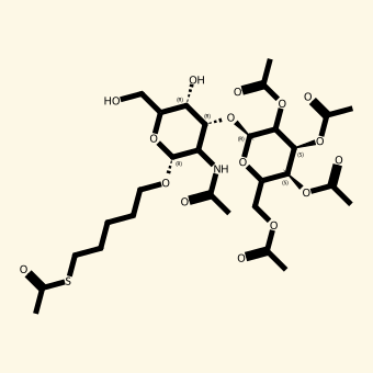 CC(=O)NC1[C@H](OCCCCCSC(C)=O)OC(CO)[C@H](O)[C@@H]1O[C@@H]1OC(COC(C)=O)[C@H](OC(C)=O)[C@H](OC(C)=O)C1OC(C)=O